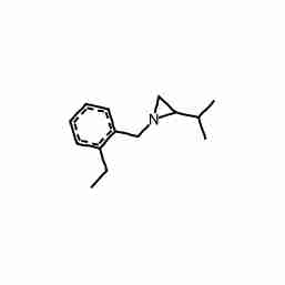 CCc1ccccc1CN1CC1C(C)C